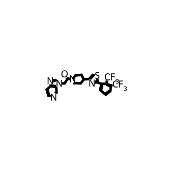 O=C(Cn1cnc2ccncc21)N1CCC(c2csc(-c3cccc(C(F)(F)F)c3C(F)(F)F)n2)CC1